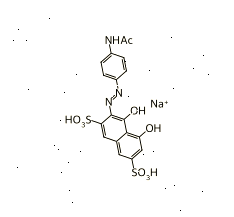 CC(=O)Nc1ccc(N=Nc2c(S(=O)(=O)O)cc3cc(S(=O)(=O)O)cc(O)c3c2O)cc1.[Na+]